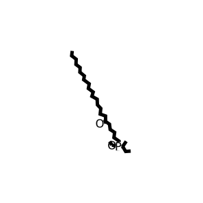 C=P(CCCCCC(=O)CCCCCCCCCCCCCCCCC)(OC)C(C)CC